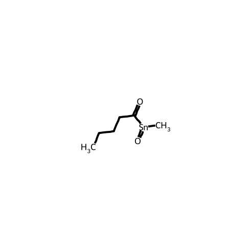 CCCC[C](=O)[Sn]([CH3])=[O]